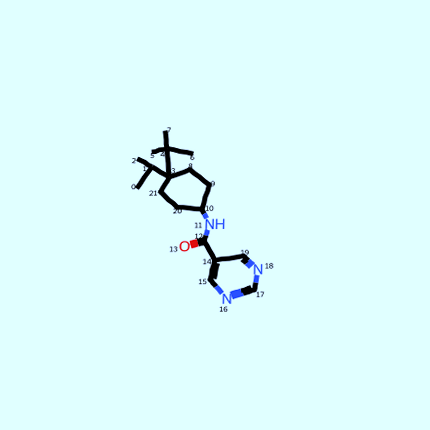 CC(C)C1(C(C)(C)C)CCC(NC(=O)c2cncnc2)CC1